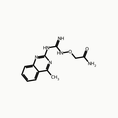 Cc1nc(NC(=N)NOCC(N)=O)nc2ccccc12